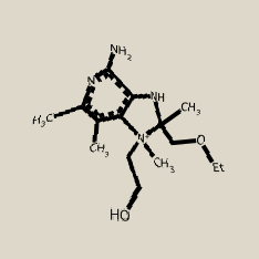 CCOCC1(C)Nc2c(N)nc(C)c(C)c2[N+]1(C)CCO